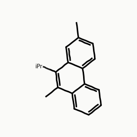 Cc1ccc2c(c1)c(C(C)C)c(C)c1ccccc12